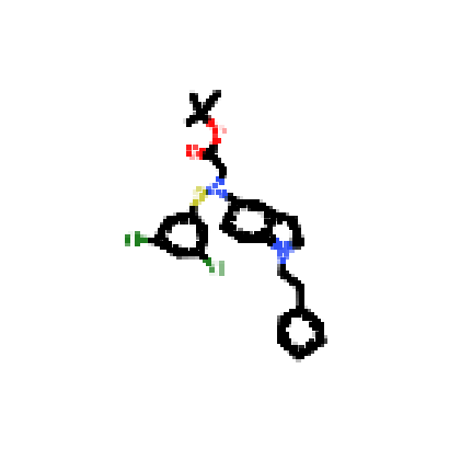 CC(C)(C)OC(=O)CN(Sc1cc(Cl)cc(Cl)c1)c1ccc2c(ccn2CCc2ccccc2)c1